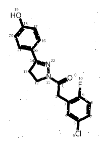 O=C(Cc1cc(Cl)ccc1F)N1CCC(c2ccc(O)cc2)=N1